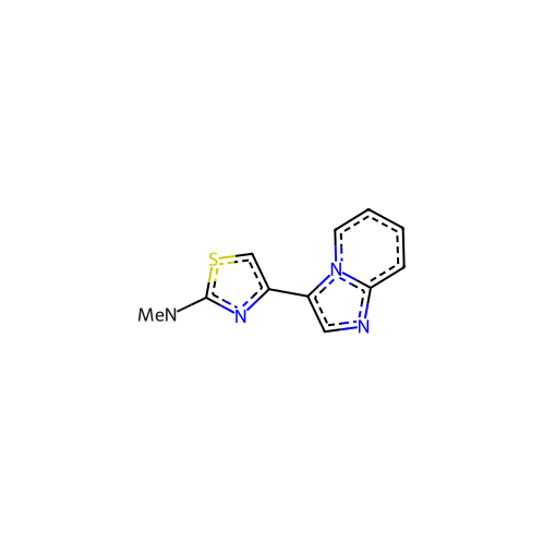 CNc1nc(-c2cnc3ccccn23)cs1